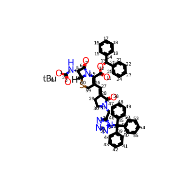 CC(C)(C)OC(=O)N[C@@H]1C(=O)N2C(C(=O)OC(c3ccccc3)c3ccccc3)=C(C=C3CCN(Cc4nnnn4C(c4ccccc4)(c4ccccc4)c4ccccc4)C3=O)CS[C@H]12